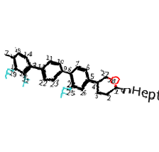 CCCCCCCC1CCC(c2ccc(-c3ccc(-c4ccc(C)c(F)c4F)cc3)c(F)c2)CO1